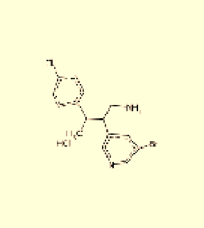 CC(c1ccc(Cl)cc1)C(CN)c1cncc(Br)c1.Cl